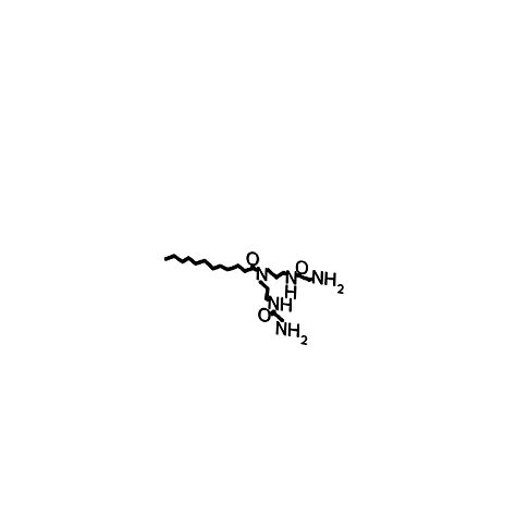 CCCCCCCCCCCC(=O)N(CCCNC(=O)CN)CCCNC(=O)CN